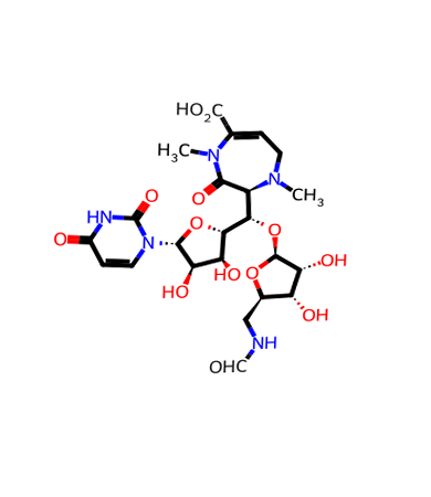 CN1C(=O)[C@H]([C@H](O[C@@H]2O[C@H](CNC=O)[C@@H](O)[C@H]2O)[C@H]2O[C@@H](n3ccc(=O)[nH]c3=O)[C@H](O)[C@@H]2O)N(C)CC=C1C(=O)O